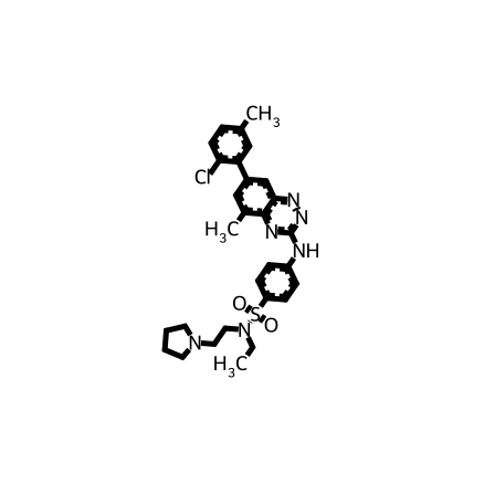 CCN(CCN1CCCC1)S(=O)(=O)c1ccc(Nc2nnc3cc(-c4cc(C)ccc4Cl)cc(C)c3n2)cc1